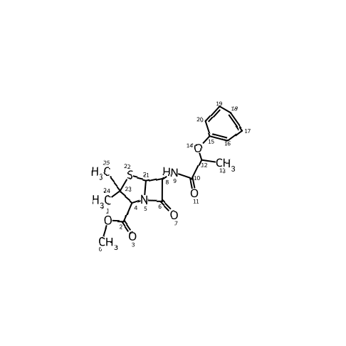 COC(=O)C1N2C(=O)C(NC(=O)C(C)Oc3ccccc3)C2SC1(C)C